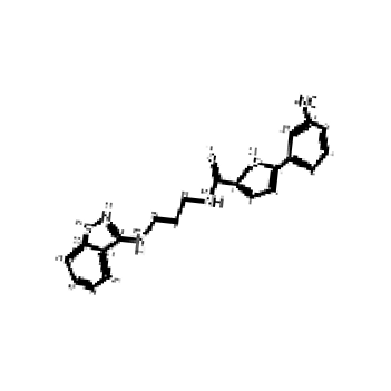 [C-]#[N+]c1cccc(-c2ccc(C(=O)NCCCNc3nsc4ccccc34)s2)c1